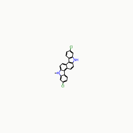 Cn1c2cc(Cl)ccc2c2c3ccc4[nH]c5cc(Cl)ccc5c4c3ccc21